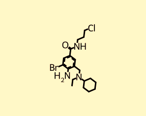 CCN(Cc1cc(C(=O)NCCCCl)cc(Br)c1N)C1CCCCC1